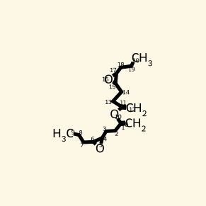 C=C(CCC1OC1CCC)OC(=C)CCC1OC1CCC